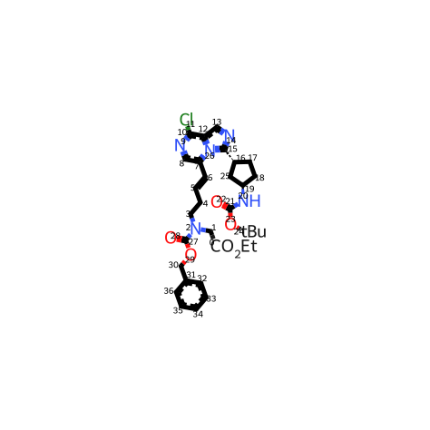 CCOC(=O)CN(CC/C=C/c1cnc(Cl)c2cnc([C@@H]3CC[C@@H](NC(=O)OC(C)(C)C)C3)n12)C(=O)OCc1ccccc1